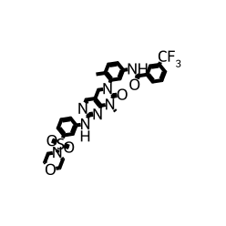 Cc1ccc(NC(=O)c2cccc(C(F)(F)F)c2)cc1N1Cc2cnc(Nc3cccc(S(=O)(=O)N4CCOCC4)c3)nc2N(C)C1=O